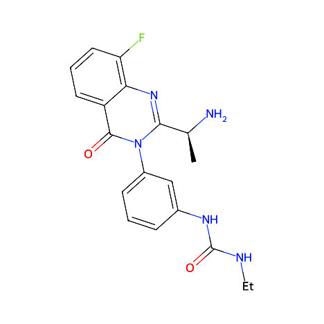 CCNC(=O)Nc1cccc(-n2c([C@H](C)N)nc3c(F)cccc3c2=O)c1